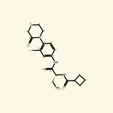 NC[C@@H](NC(=O)C1CCC1)C(=O)Nc1ccc(N2CCOCC2=O)c(F)c1